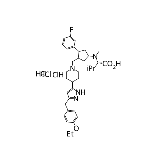 CCOc1ccc(Cc2cc(C3CCN(CC4CC(N(C)[C@@H](C(=O)O)C(C)C)CC4c4cccc(F)c4)CC3)[nH]n2)cc1.Cl.Cl.Cl